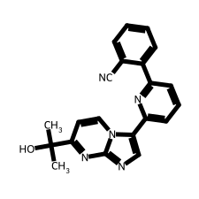 CC(C)(O)c1ccn2c(-c3cccc(-c4ccccc4C#N)n3)cnc2n1